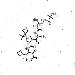 CC(C)(N)C(=O)NC[C@@H](NC(=O)N[C@H](C(=O)N1C[C@]2(C[C@H]1C(=O)NC(CC1CCC1)C(=O)C(N)=O)C(C)(C)C21COC1)C(C)(C)C)C(C)(C)C